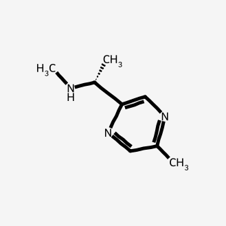 CN[C@H](C)c1cnc(C)cn1